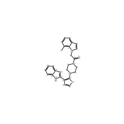 Cc1cccc2ccn(CC(=O)N3CCN(c4scnc4-c4nc5ccccc5[nH]4)CC3)c12